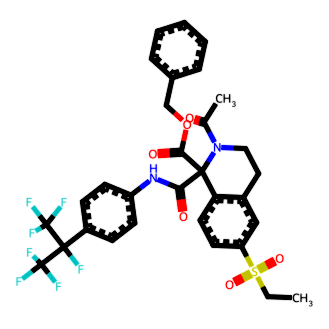 CCS(=O)(=O)c1ccc2c(c1)CCN(C(C)=O)C2(C(=O)Nc1ccc(C(F)(C(F)(F)F)C(F)(F)F)cc1)C(=O)OCc1ccccc1